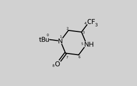 CC(C)(C)N1CC(C(F)(F)F)NCC1=O